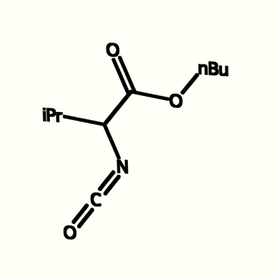 CCCCOC(=O)C(N=C=O)C(C)C